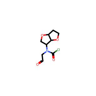 O=CCN(C(=O)Cl)C1COC2CCOC21